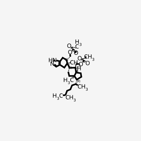 CC(C)CCCC(C)[C@H]1CC[C@H]2[C@H](COS(C)(=O)=O)[C@@H]([C@@]3(C)Cc4cn[nH]c4C[C@@H]3COS(C)(=O)=O)CC[C@]12C